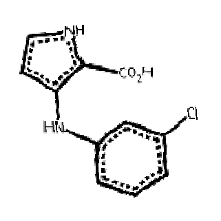 O=C(O)c1[nH]ccc1Nc1cccc(Cl)c1